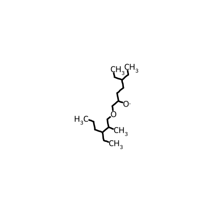 CCCC(CC)C(C)COCC([O])CCC(CC)CC